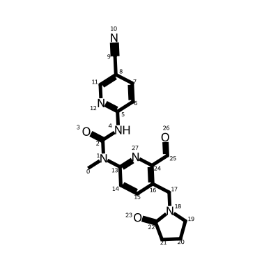 CN(C(=O)Nc1ccc(C#N)cn1)c1ccc(CN2CCCC2=O)c(C=O)n1